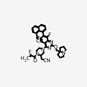 C#Cc1cccc2cccc(-c3c(F)cc4c(N5CCN(C(=O)C(=C)F)C(CC#N)C5)nc(OCC56CCCN5CCC6)nc4c3F)c12